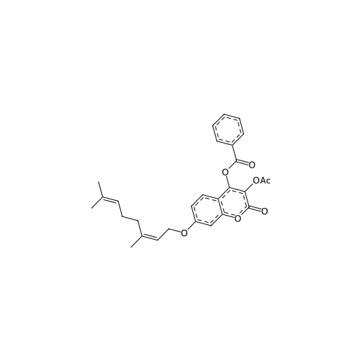 CC(=O)Oc1c(OC(=O)c2ccccc2)c2ccc(OCC=C(C)CCC=C(C)C)cc2oc1=O